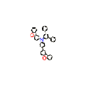 c1ccc(-c2cc(-c3ccccc3)cc(N(c3ccc(-c4ccc5oc6ccccc6c5c4)cc3)c3ccc4oc5ccccc5c4c3)c2)cc1